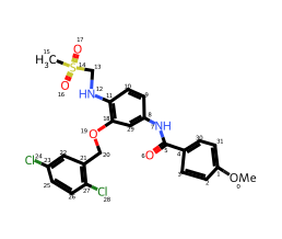 COc1ccc(C(=O)Nc2ccc(NCS(C)(=O)=O)c(OCc3cc(Cl)ccc3Cl)c2)cc1